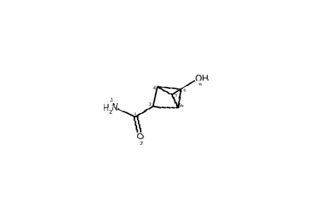 NC(=O)C1C2CC1C2O